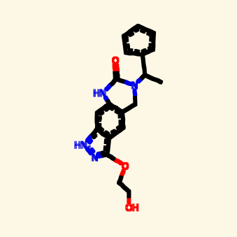 CC(c1ccccc1)N1Cc2cc3c(OCCO)n[nH]c3cc2NC1=O